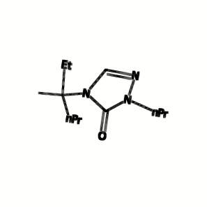 CCCn1ncn(C(C)(CC)CCC)c1=O